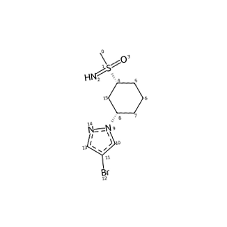 CS(=N)(=O)[C@@H]1CCC[C@H](n2cc(Br)cn2)C1